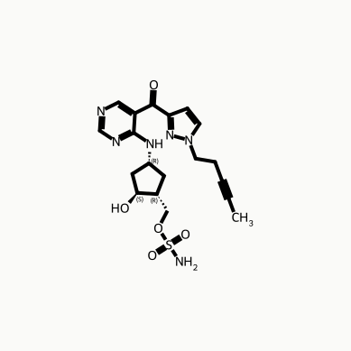 CC#CCCn1ccc(C(=O)c2cncnc2N[C@@H]2C[C@H](COS(N)(=O)=O)[C@@H](O)C2)n1